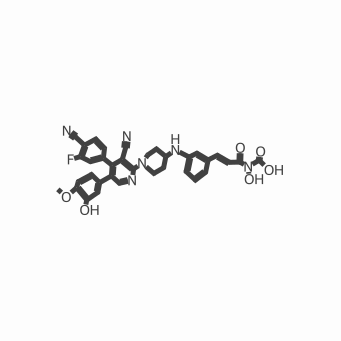 COc1ccc(-c2cnc(N3CCC(Nc4cccc(/C=C/C(=O)N(O)C(=O)O)c4)CC3)c(C#N)c2-c2ccc(C#N)c(F)c2)cc1O